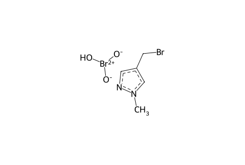 Cn1cc(CBr)cn1.[O-][Br+2]([O-])O